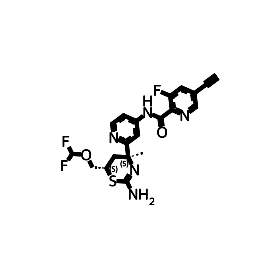 C#Cc1cnc(C(=O)Nc2ccnc([C@]3(C)C[C@@H](COC(F)F)SC(N)=N3)c2)c(F)c1